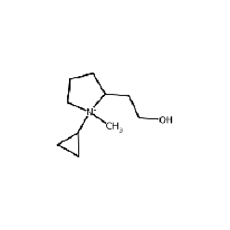 C[N+]1(C2CC2)CCCC1CCO